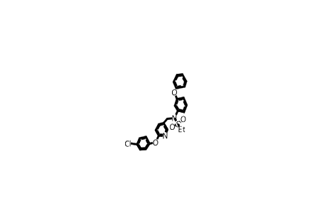 CCS(=O)(=O)N(Cc1ccc(Oc2ccc(Cl)cc2)nc1)c1cccc(Oc2ccccc2)c1